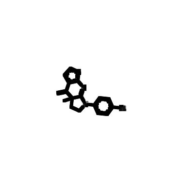 C=C1c2ccsc2N=C2N(c3ccc(CC)cc3)CCC12C